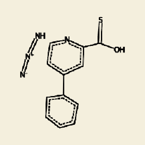 OC(=S)c1cc(-c2ccccc2)ccn1.[N-]=[N+]=N